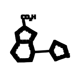 O=C(O)c1cc2cccc(-c3ccsc3)n2c1